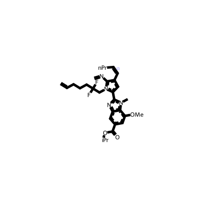 C=CCCCC(F)(F)Cn1c(-c2nc3cc(C(=O)OC(C)C)cc(OC)c3n2C)cc(/C=C\CCC)c1N=C